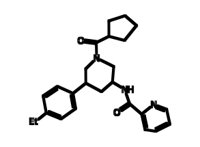 CCc1ccc(C2CC(NC(=O)c3ccccn3)CN(C(=O)C3CCCC3)C2)cc1